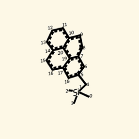 C[Si](C)(C)Cc1cc2ccc3cccc4ccc(c1)c2c34